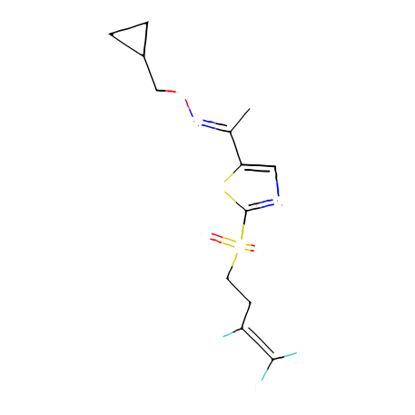 CC(=NOCC1CC1)c1cnc(S(=O)(=O)CCC(F)=C(F)F)s1